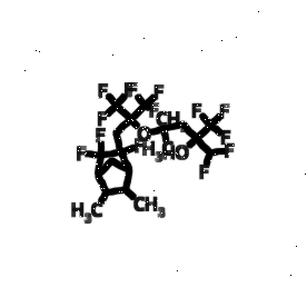 CC1C(C)C2CC1C(F)(F)C2(F)CC(OC(C)(C)CC(O)(C(F)F)C(F)(F)F)(C(F)(F)F)C(F)(F)F